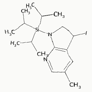 Cc1cnc2c(c1)C(I)CN2[Si](C(C)C)(C(C)C)C(C)C